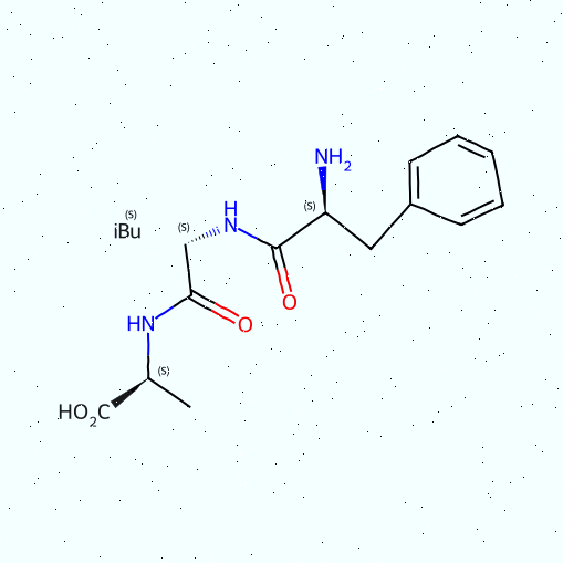 CC[C@H](C)[C@H](NC(=O)[C@@H](N)Cc1ccccc1)C(=O)N[C@@H](C)C(=O)O